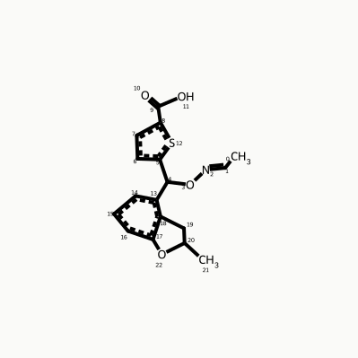 C/C=N/OC(c1ccc(C(=O)O)s1)c1cccc2c1CC(C)O2